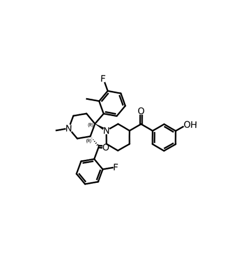 Cc1c(F)cccc1[C@@]1(N2CCCC(C(=O)c3cccc(O)c3)C2)CCN(C)C[C@H]1C(=O)c1ccccc1F